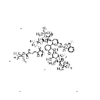 CN(C(=O)OC(C)(C)C)[C@@H]1[C@@H](O)[C@@H](O[C@@H]2[C@@H](O)[C@H](C3OC(CNS(=O)(=O)c4ccccc4N=O)=CC[C@H]3NC(=O)OC(C)(C)C)[C@@H](NC(=O)OC(C)(C)C)C[C@H]2NC(=O)[C@@H](O)CCNC(=O)OC(C)(C)C)OC[C@]1(C)O